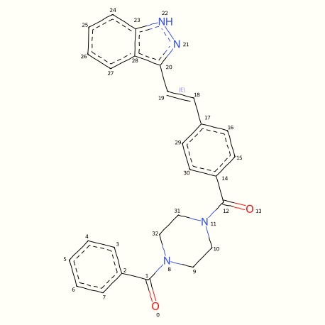 O=C(c1ccccc1)N1CCN(C(=O)c2ccc(/C=C/c3n[nH]c4ccccc34)cc2)CC1